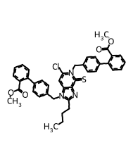 CCCCc1nc2c(=S)n(Cc3ccc(-c4ccccc4C(=O)OC)cc3)c(Cl)cc2n1Cc1ccc(-c2ccccc2C(=O)OC)cc1